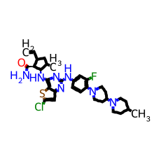 C=CC1CC(C)[C@@H](Nc2nc(Nc3ccc(N4CCC(N5CCC(C)CC5)CC4)c(F)c3)nc3cc(Cl)sc23)[C@H]1C(N)=O